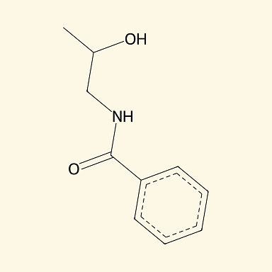 CC(O)CNC(=O)c1ccccc1